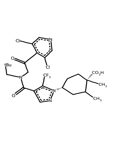 CC1C[C@H](n2ncc(C(=O)N(CC(=O)c3c(Cl)cncc3Cl)CC(C)(C)C)c2C(F)(F)F)CC[C@]1(C)C(=O)O